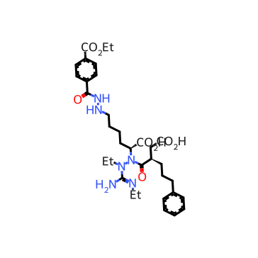 CCN=C(N)N(CC)N(C(=O)[C@H](CCCc1ccccc1)CC(=O)O)[C@@H](CCCCNNC(=O)c1ccc(C(=O)OCC)cc1)C(=O)O